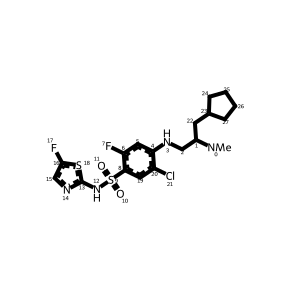 CNC(CNc1cc(F)c(S(=O)(=O)Nc2ncc(F)s2)cc1Cl)CC1CCCC1